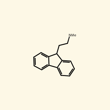 CNCCC1c2ccccc2-c2ccccc21